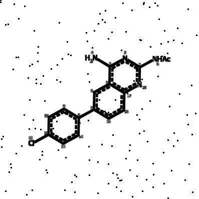 CC(=O)Nc1nc(N)c2cc(-c3ccc(Cl)cc3)ccc2n1